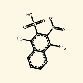 Nc1c([N+](=O)[O-])c(S(=O)(=O)O)c(O)c2ccccc12